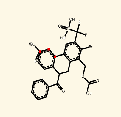 CC(C)(C)C(=O)OCc1cc(C(F)(F)P(=O)(O)O)c(Br)c(COC(=O)C(C)(C)C)c1CC(C(=O)c1ccccc1)c1ccccc1